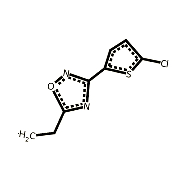 [CH2]Cc1nc(-c2ccc(Cl)s2)no1